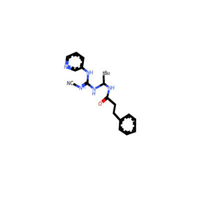 CC(C)(C)C(NC(=O)CCc1ccccc1)N/C(=N/C#N)Nc1cccnc1